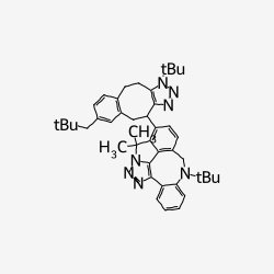 CC(C)(C)Cc1ccc2c(c1)CC(c1ccc3c4c1C(C)(C)n1nnc(c1-4)-c1ccccc1N(C(C)(C)C)C3)c1nnn(C(C)(C)C)c1CC2